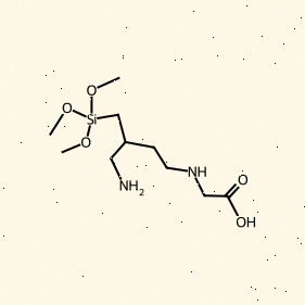 CO[Si](CC(CN)CCNCC(=O)O)(OC)OC